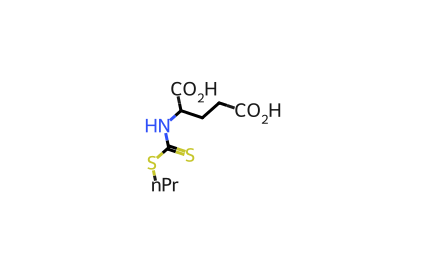 CCCSC(=S)NC(CCC(=O)O)C(=O)O